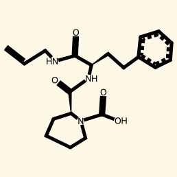 C=CCNC(=O)[C@@H](CCc1ccccc1)NC(=O)[C@@H]1CCCCN1C(=O)O